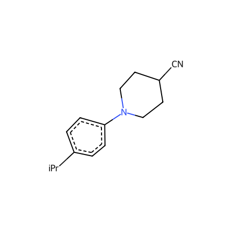 CC(C)c1ccc(N2CCC(C#N)CC2)cc1